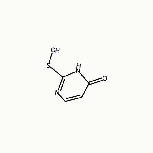 O=c1ccnc(SO)[nH]1